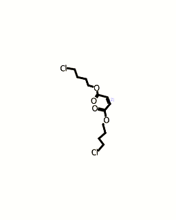 O=C(/C=C\C(=O)OCCCCCl)OCCCCCl